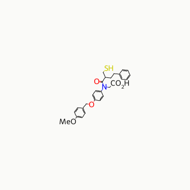 COc1ccc(COc2ccc(N(CC(=O)O)C(=O)C(CS)CCc3ccccc3)cc2)cc1